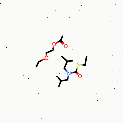 CCOCCOC(C)=O.CCSC(=O)N(CC(C)C)CC(C)C